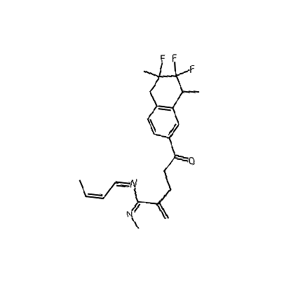 C=C(CCC(=O)c1ccc2c(c1)C(C)C(F)(F)C(C)(F)C2)C(/N=C\C=C/C)=N\C